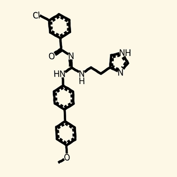 COc1ccc(-c2ccc(N/C(=N\C(=O)c3cccc(Cl)c3)NCCc3c[nH]cn3)cc2)cc1